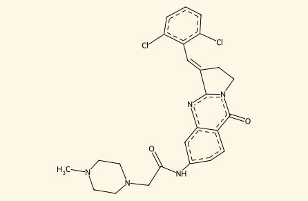 CN1CCN(CC(=O)Nc2ccc3c(=O)n4c(nc3c2)C(=Cc2c(Cl)cccc2Cl)CC4)CC1